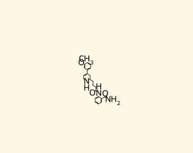 COc1cccc(C2=CCNC(CCCC(=O)Nc3ccccc3C(N)=O)C2)c1